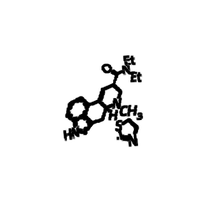 CCN(CC)C(=O)[C@@H]1C=C2c3cccc4[nH]cc(c34)C[C@H]2N(C)C1.[C]1=NCCS1